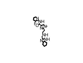 Cn1cc(C(=O)Nc2ncccc2F)nc1CCNCc1nc2ccccc2[nH]1